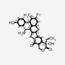 CC[C@@]1(O)C(=O)OCc2c1cc1n(c2=O)Cc2c-1nc1cc(F)c(C)c(-c3ccc(O)cc3)c1c2CN